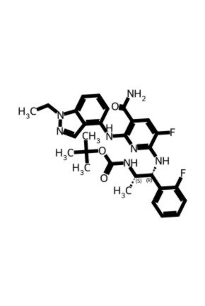 CCn1ncc2c(Nc3nc(N[C@H](c4ccccc4F)[C@H](C)NC(=O)OC(C)(C)C)c(F)cc3C(N)=O)cccc21